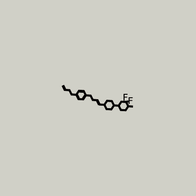 C=CCCc1ccc(CC/C=C/C2CCC(C3CCC(C)C(F)(F)C3)CC2)cc1